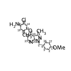 COc1ccc(Cn2nc(C)c3c(Oc4cc(Cl)c(N)cc4C)ccnc32)cc1